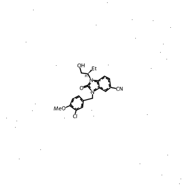 CC[C@H](CO)n1c(=O)n(Cc2ccc(OC)c(Cl)c2)c2cc(C#N)ccc21